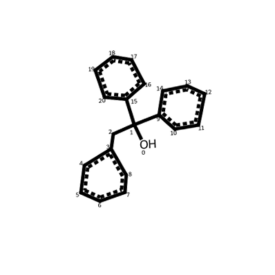 OC([CH]c1ccccc1)(c1ccccc1)c1ccccc1